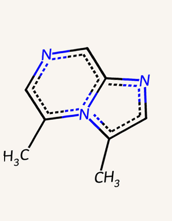 Cc1cncc2ncc(C)n12